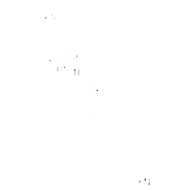 CS(=O)(=O)c1ccc(S(=O)(=O)NN2CC[C@@H](CCCOc3ccc(-c4ccc(C#N)cc4)cc3)C2)cc1